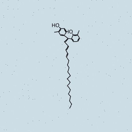 CCCCCCCCCCCCCCC=CC=CC=C(c1ccc(O)c(C)c1)c1cccc(C)c1O